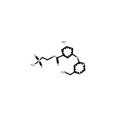 CS(=O)(=O)CCNC(=O)c1cccc(Oc2cc(CN)ncn2)c1.Cl